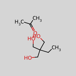 CC(C)=O.CCC(CO)(CO)CO